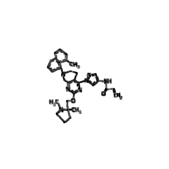 C=CC(=O)Nc1cnn(-c2nc(OC[C@]3(C)CCCN3C)nc3c2CCN(c2cccc4cccc(C)c24)C3)c1